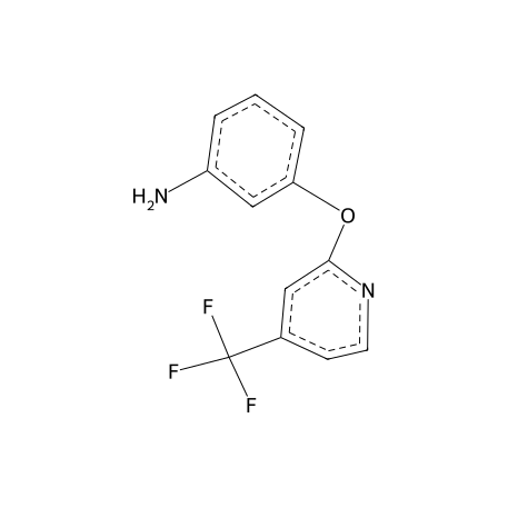 Nc1cccc(Oc2cc(C(F)(F)F)ccn2)c1